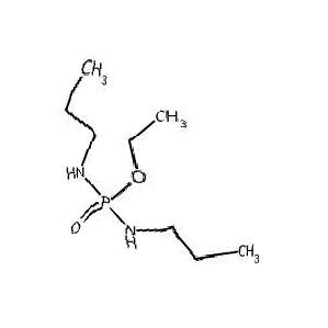 CCCNP(=O)(NCCC)OCC